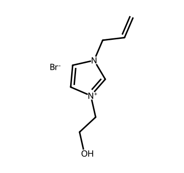 C=CCn1cc[n+](CCO)c1.[Br-]